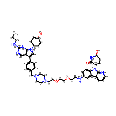 O=C1CC[C@H](n2c3ccc(NCCOCCOCCN4CCN(Cc5ccc(-c6cn([C@H]7CC[C@H](O)CC7)c7nc(NCCC(F)(F)F)ncc67)cc5)CC4)cc3c3cccnc32)C(=O)N1